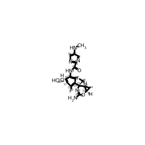 CNc1cnc(C(=O)Nc2ccc(F)c([C@@]3(C(F)F)N=C(N)O[C@@H]4C[C@@H]43)c2)nc1.Cl.Cl